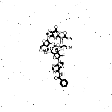 CC(C)C(=O)Nc1nc2c(ncn2C2OC(CO)C(CO)C2OP(=O)(OCCC#N)OCC2OC(n3cnc4c(NC(=O)c5ccccc5)ncnc43)C(F)C2O)c(=O)[nH]1